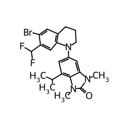 CC(C)c1cc(N2CCCc3cc(Br)c(C(F)F)cc32)cc2c1n(C)c(=O)n2C